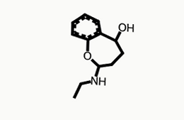 CCNC1CCC(O)c2ccccc2O1